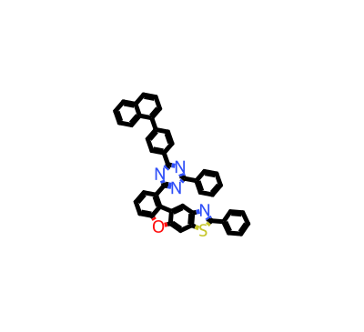 c1ccc(-c2nc(-c3ccc(-c4cccc5ccccc45)cc3)nc(-c3cccc4oc5cc6sc(-c7ccccc7)nc6cc5c34)n2)cc1